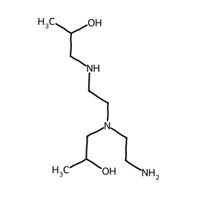 CC(O)CNCCN(CCN)CC(C)O